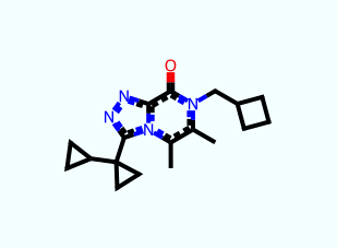 Cc1c(C)n2c(C3(C4CC4)CC3)nnc2c(=O)n1CC1CCC1